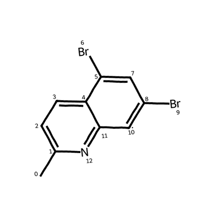 Cc1ccc2c(Br)cc(Br)[c]c2n1